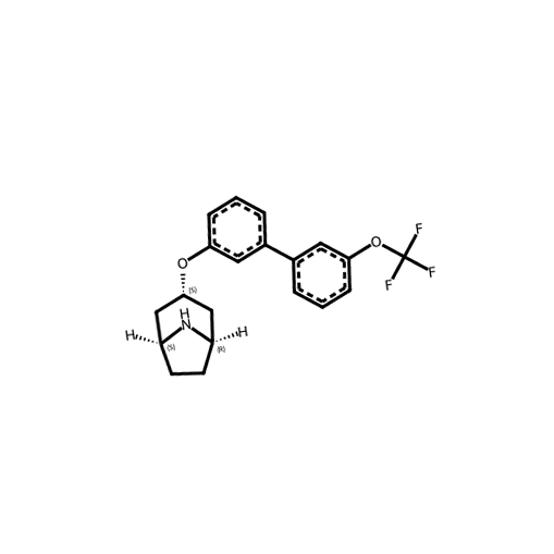 FC(F)(F)Oc1cccc(-c2cccc(O[C@@H]3C[C@H]4CC[C@@H](C3)N4)c2)c1